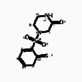 O=C1CN(S(=O)(=O)C2=CC=CCC2=S)CCN1